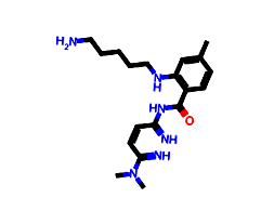 Cc1ccc(C(=O)NC(=N)/C=C\C(=N)N(C)C)c(NCCCCCN)c1